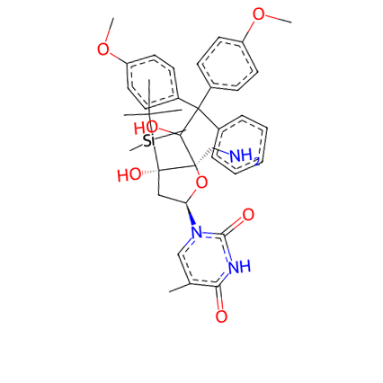 COc1ccc(C(c2ccccc2)(c2ccc(OC)cc2)C(O)[C@@]2(CN)O[C@@H](n3cc(C)c(=O)[nH]c3=O)C[C@@]2(O)[Si](C)(C)C(C)(C)C)cc1